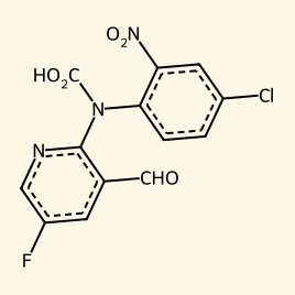 O=Cc1cc(F)cnc1N(C(=O)O)c1ccc(Cl)cc1[N+](=O)[O-]